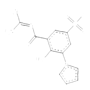 Cc1c(C(=O)N=C(N)N)cc(S(C)(=O)=O)cc1-n1cccc1